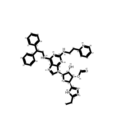 CCc1nnc([C@H]2O[C@@H](n3cnc4c(NCC(c5ccccc5)c5ccccc5)nc(NCCc5ccccn5)nc43)[C@H](O)[C@@H]2OC=O)[nH]1